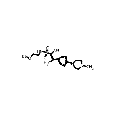 CCOCCNS(=O)(=O)/C(C#N)=C(\C)c1ccc(N2CCN(C)CC2)cc1